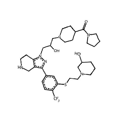 O=C(C1CCN(CC(O)Cn2nc(-c3ccc(C(F)(F)F)c(SCCN4CCCC(O)C4)c3)c3c2CCNC3)CC1)N1CCCC1